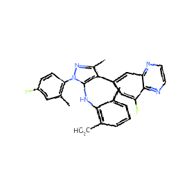 Cc1cc(F)ccc1-n1nc(C)c(-c2cc(F)c3nccnc3c2)c1Nc1c(C)cccc1C(=O)O